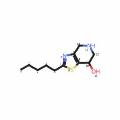 CCCCCc1nc2c(s1)C(O)CNC2